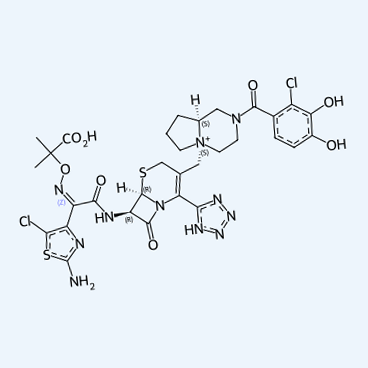 CC(C)(O/N=C(\C(=O)N[C@@H]1C(=O)N2C(c3nnn[nH]3)=C(C[N@+]34CCC[C@H]3CN(C(=O)c3ccc(O)c(O)c3Cl)CC4)CS[C@H]12)c1nc(N)sc1Cl)C(=O)O